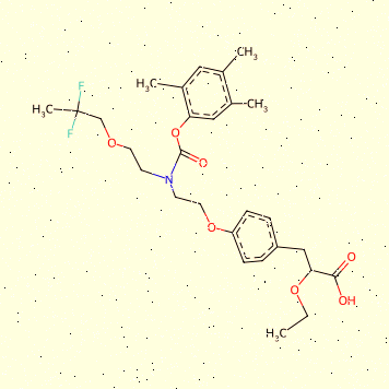 CCOC(Cc1ccc(OCCN(CCOCC(C)(F)F)C(=O)Oc2cc(C)c(C)cc2C)cc1)C(=O)O